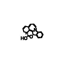 O=C(O)[C@@H]1CC=CC2=CC=CN3C(=C21)Cc1ccccc13